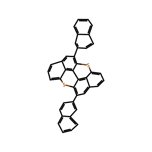 c1ccc2cc(-c3cc4cccc5sc6c(-c7ccc8ccccc8c7)cc7cccc8sc3c(c45)-c6c78)ccc2c1